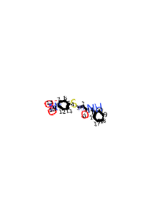 O=C(/C=C/Sc1ccc([N+](=O)[O-])cc1)Nc1ccccc1